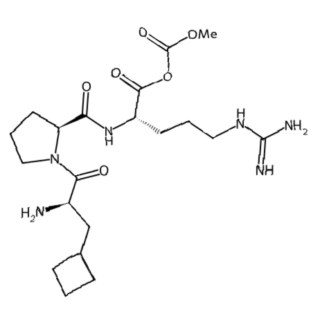 COC(=O)OC(=O)[C@H](CCCNC(=N)N)NC(=O)[C@@H]1CCCN1C(=O)[C@H](N)CC1CCC1